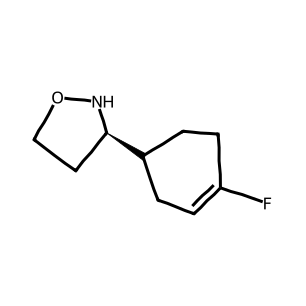 FC1=CCC([C@H]2CCON2)CC1